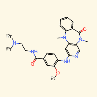 CCOc1cc(C(=O)NCCN(C(C)C)C(C)C)ccc1Nc1cc2c(cn1)N(C)C(=O)c1ccccc1N2C